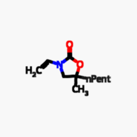 C=CN1CC(C)(CCCCC)OC1=O